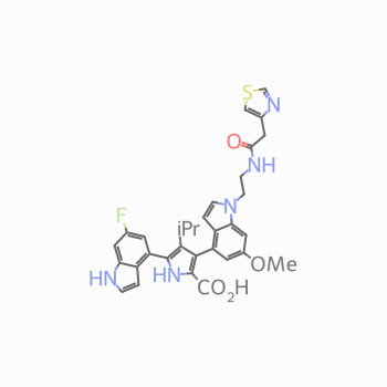 COc1cc(-c2c(C(=O)O)[nH]c(-c3cc(F)cc4[nH]ccc34)c2C(C)C)c2ccn(CCNC(=O)Cc3cscn3)c2c1